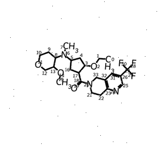 CCO[C@@H]1CC(N(C)C2CCOCC2OC)CC1C(=O)N1CCc2ncc(C(F)(F)F)cc2C1